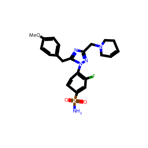 COc1ccc(Cc2nc(CN3CC=CCC3)nn2-c2ccc(S(N)(=O)=O)cc2F)cc1